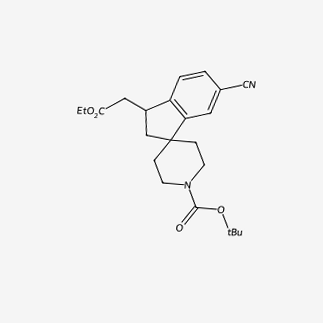 CCOC(=O)CC1CC2(CCN(C(=O)OC(C)(C)C)CC2)c2cc(C#N)ccc21